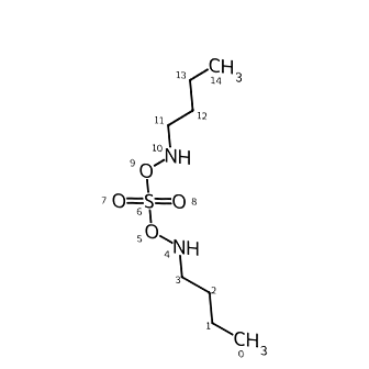 CCCCNOS(=O)(=O)ONCCCC